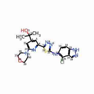 CC(C)(O)c1cc(-c2nnc(Nc3ccc4[nH]ncc4c3Cl)s2)nc(N2CCOCC2)c1